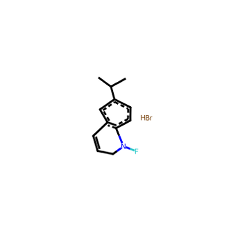 Br.CC(C)c1ccc2c(c1)C=CCN2F